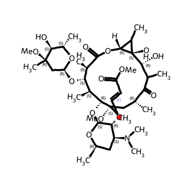 COC(=O)/C=C/O[C@H]1[C@H](O[C@@H]2[C@@H](C)[C@H](O[C@H]3C[C@@](C)(OC)[C@@H](O)[C@H](C)O3)[C@@H](C)C(=O)O[C@@H]3C(C)[C@]3(O)[C@H](O)C(C)C(=O)[C@H](C)C[C@]2(C)OC)O[C@H](C)C[C@@H]1N(C)C